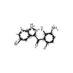 Nc1ccc(F)c(C(=O)c2n[nH]c3ncc(Br)cc23)c1F